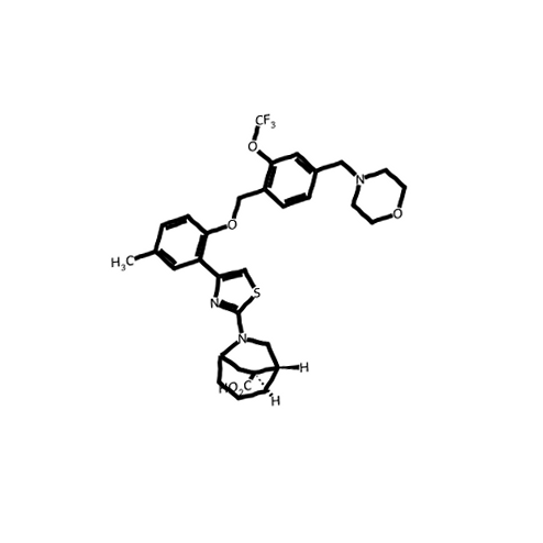 Cc1ccc(OCc2ccc(CN3CCOCC3)cc2OC(F)(F)F)c(-c2csc(N3C[C@@H]4CCCC3C[C@@H]4C(=O)O)n2)c1